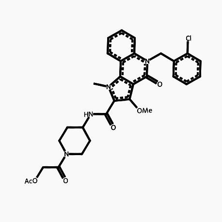 COc1c(C(=O)NC2CCN(C(=O)COC(C)=O)CC2)n(C)c2c1c(=O)n(Cc1ccccc1Cl)c1ccccc21